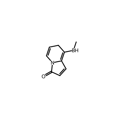 CBC1=C2C=CC(=O)N2C=CC1